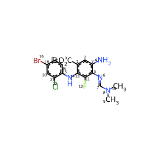 CCOC(=O)c1cc(N)c(N=CN(C)C)c(F)c1Nc1ccc(Br)cc1Cl